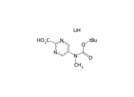 CN(C(=O)OC(C)(C)C)c1cnc(C(=O)O)nc1.[LiH]